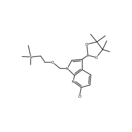 CC1(C)OB(c2cn(COCC[Si](C)(C)C)c3nc(Cl)ccc23)OC1(C)C